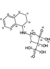 O=P(O)(O)C(O)(CCNC1CCCc2ccccc21)P(=O)(O)O